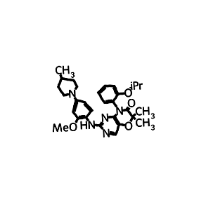 COc1cc(N2CCC(C)CC2)ccc1Nc1ncc2c(n1)N(c1ccccc1OC(C)C)C(=O)C(C)(C)O2